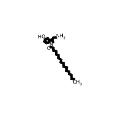 CCCCCCCCCCCCCCCCCCC(=O)n1cc(CCN)c2cc(O)ccc21